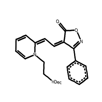 CCCCCCCCCCCCN1C=CC=CC1=CC=C1C(=O)ON=C1c1ccccc1